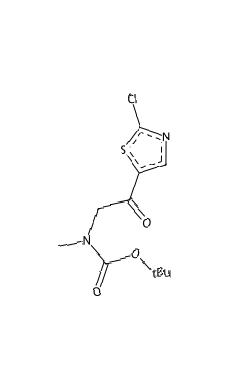 CN(CC(=O)c1cnc(Cl)s1)C(=O)OC(C)(C)C